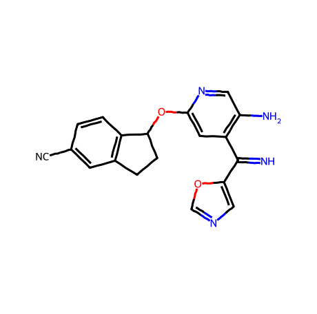 N#Cc1ccc2c(c1)CCC2Oc1cc(C(=N)c2cnco2)c(N)cn1